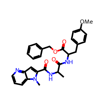 COc1ccc(CC(NC(=O)C(C)NC(=O)c2cc3ncccc3n2C)C(=O)OCc2ccccc2)cc1